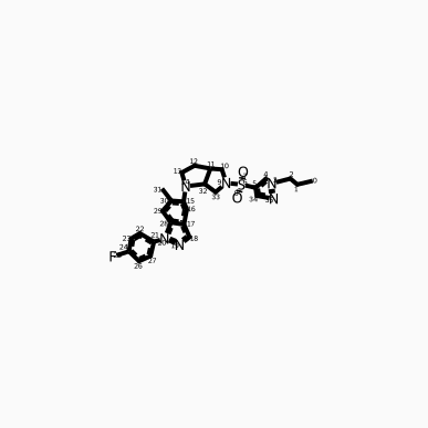 CCCn1cc(S(=O)(=O)N2CC3CCN(c4cc5cnn(-c6ccc(F)cc6)c5cc4C)C3C2)cn1